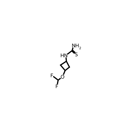 NC(=S)NC1CC(OC(F)F)C1